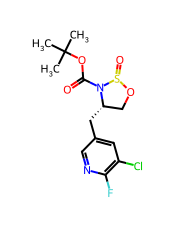 CC(C)(C)OC(=O)N1[C@@H](Cc2cnc(F)c(Cl)c2)COS1=O